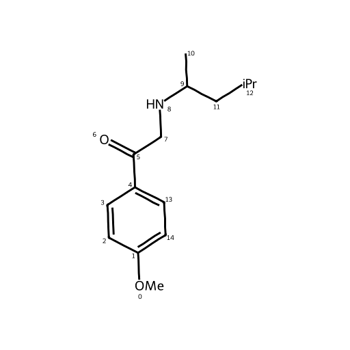 COc1ccc(C(=O)CNC(C)CC(C)C)cc1